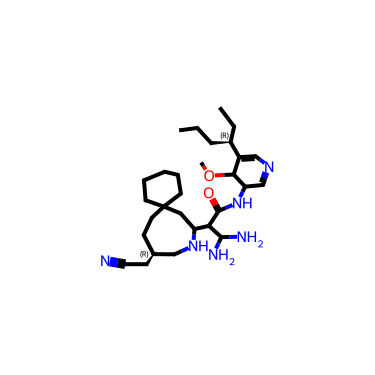 CCC[C@@H](CC)C1=CN=CC(NC(=O)C(C(N)N)C2CC3(CCCCC3)CC[C@H](CC#N)CN2)C1OC